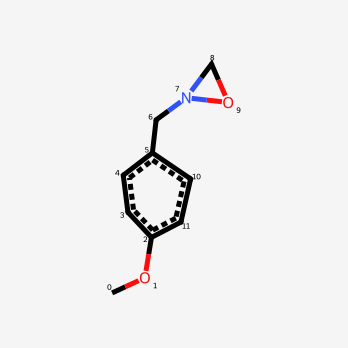 COc1ccc(CN2CO2)cc1